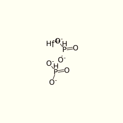 O=[PH]([O-])[O-].O=[PH]([O-])[O-].[Hf+4]